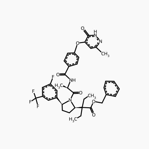 CCC(CC)(C(=O)OCc1ccccc1)[C@H]1CC[C@@H](c2cc(F)cc(C(F)(F)F)c2)N1C(=O)[C@@H](C)NC(=O)c1ccc(Oc2cc(C)n[nH]c2=O)cc1